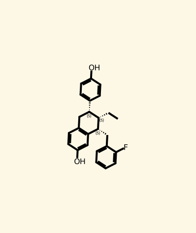 CC[C@H]1[C@@H](c2ccc(O)cc2)Cc2ccc(O)cc2[C@H]1Cc1ccccc1F